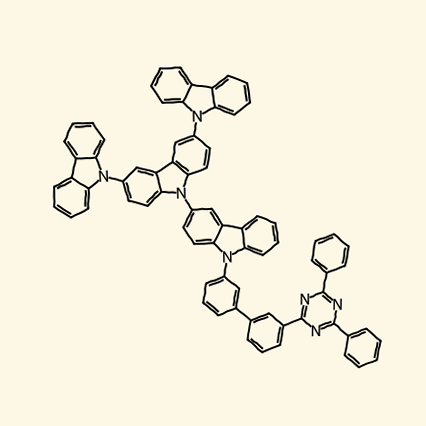 c1ccc(-c2nc(-c3ccccc3)nc(-c3cccc(-c4cccc(-n5c6ccccc6c6cc(-n7c8ccc(-n9c%10ccccc%10c%10ccccc%109)cc8c8cc(-n9c%10ccccc%10c%10ccccc%109)ccc87)ccc65)c4)c3)n2)cc1